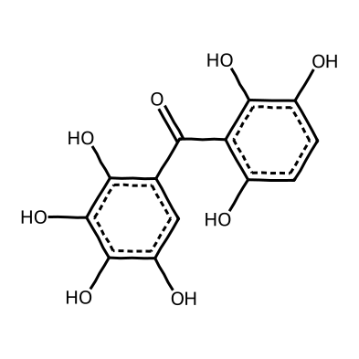 O=C(c1cc(O)c(O)c(O)c1O)c1c(O)ccc(O)c1O